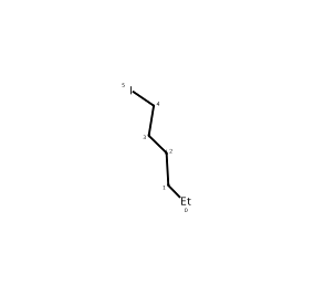 CCC[CH]CCI